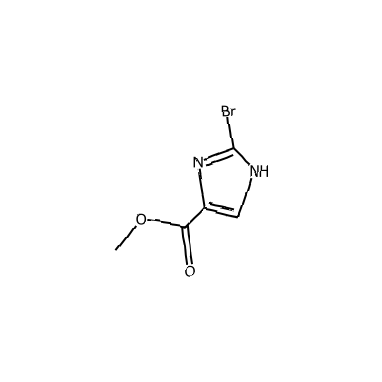 COC(=O)c1c[nH]c(Br)n1